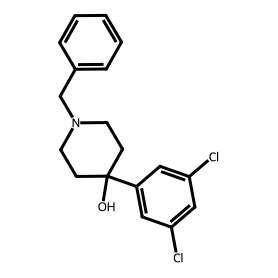 OC1(c2cc(Cl)cc(Cl)c2)CCN(Cc2ccccc2)CC1